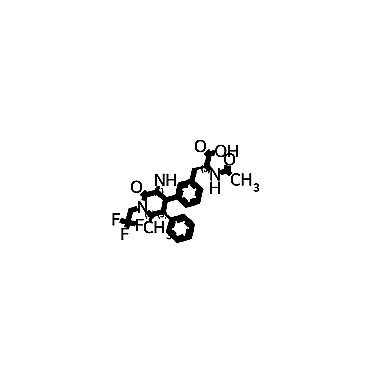 CC(=O)N[C@@H](Cc1cccc(C2[C@H](N)C(=O)N(CC(F)(F)F)[C@H](C)[C@@H]2c2ccccc2)c1)C(=O)O